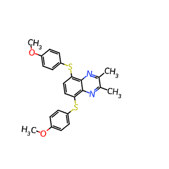 COc1ccc(Sc2ccc(Sc3ccc(OC)cc3)c3nc(C)c(C)nc23)cc1